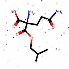 CC(C)COC(=O)[C@@](N)(CCC(N)=O)C(=O)O